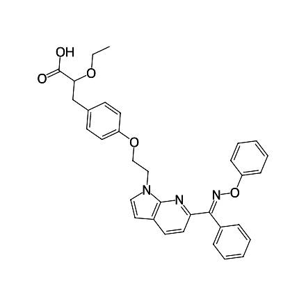 CCOC(Cc1ccc(OCCn2ccc3ccc(C(=NOc4ccccc4)c4ccccc4)nc32)cc1)C(=O)O